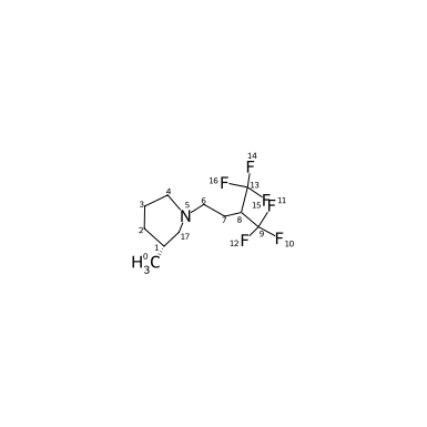 C[C@@H]1CCCN(CCC(C(F)(F)F)C(F)(F)F)C1